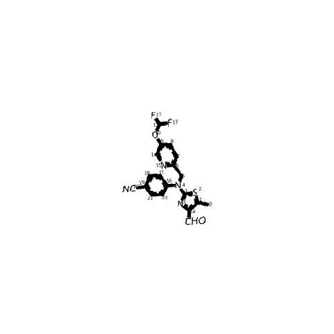 Cc1sc(N(Cc2ccc(OC(F)F)cn2)c2ccc(C#N)cc2)nc1C=O